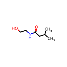 CC(C)CC(=O)NCCO